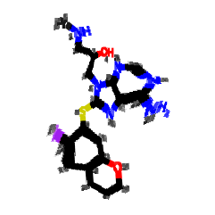 CC(C)NCC(O)Cn1c(Sc2cc3c(cc2I)CCCO3)nc2c(N)ncnc21